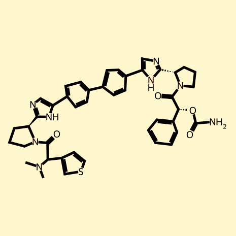 CN(C)C(C(=O)N1CCC[C@H]1c1ncc(-c2ccc(-c3ccc(-c4cnc([C@@H]5CCCN5C(=O)[C@H](OC(N)=O)c5ccccc5)[nH]4)cc3)cc2)[nH]1)c1ccsc1